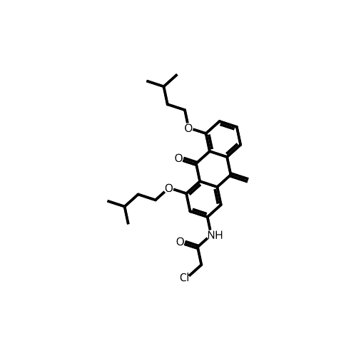 C=C1c2cccc(OCCC(C)C)c2C(=O)c2c(OCCC(C)C)cc(NC(=O)CCl)cc21